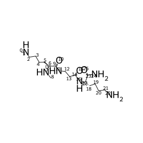 CNCCCC[C@H](NC)C(=O)NCCC(=O)N[C@@H](CCCCN)C(N)=O